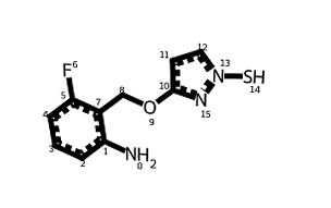 Nc1cccc(F)c1COc1ccn(S)n1